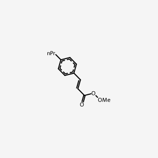 CCCc1ccc(C=CC(=O)OOC)cc1